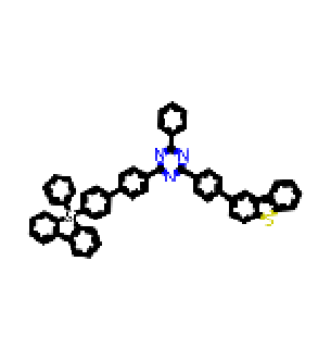 c1ccc(-c2nc(-c3ccc(-c4ccc([Si]5(c6ccccc6)c6ccccc6-c6ccccc65)cc4)cc3)nc(-c3ccc(-c4ccc5sc6ccccc6c5c4)cc3)n2)cc1